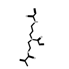 C=CC(=O)NCCCN(CCOC(=O)C(=C)C)C(=O)C=C